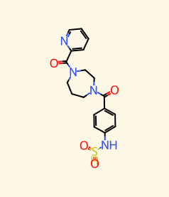 O=C(c1ccc(N[SH](=O)=O)cc1)N1CCCN(C(=O)c2ccccn2)CC1